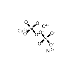 [C+4].[Co+2].[Ni+2].[O-][Si]([O-])([O-])[O-].[O-][Si]([O-])([O-])[O-]